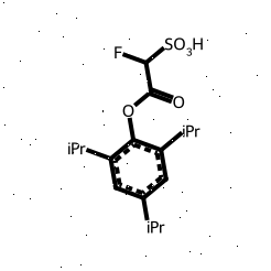 CC(C)c1cc(C(C)C)c(OC(=O)C(F)S(=O)(=O)O)c(C(C)C)c1